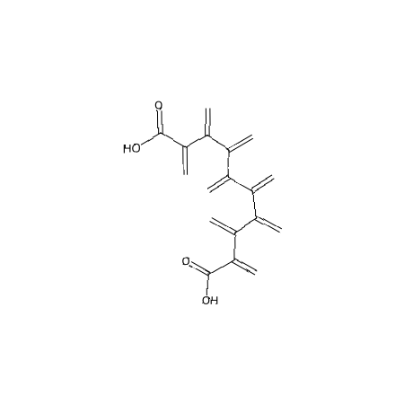 C=C(C(=C)C(=C)C(=C)C(=C)C(=O)O)C(=C)C(=C)C(=C)C(=O)O